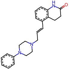 O=C1CCc2c(/C=C/CN3CCN(c4ccccc4)CC3)cccc2N1